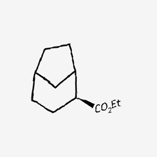 CCOC(=O)[C@H]1CCC2CCC1C2